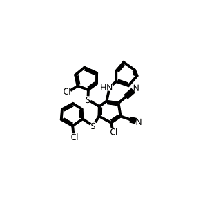 N#Cc1c(Cl)c(Sc2ccccc2Cl)c(Sc2ccccc2Cl)c(Nc2ccccc2)c1C#N